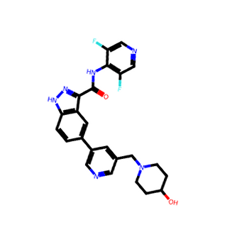 O=C(Nc1c(F)cncc1F)c1n[nH]c2ccc(-c3cncc(CN4CCC(O)CC4)c3)cc12